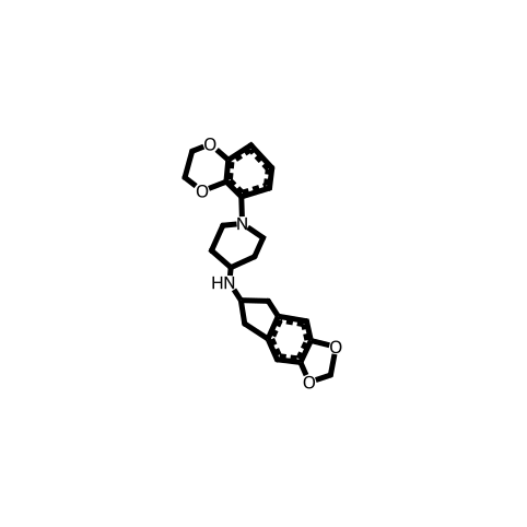 c1cc2c(c(N3CCC(NC4Cc5cc6c(cc5C4)OCO6)CC3)c1)OCCO2